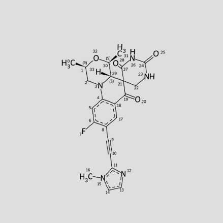 C[C@@H]1CN2c3cc(F)c(C#Cc4nccn4C)cc3C(=O)C3(CNC(=O)NC3=O)[C@H]2[C@H](C)O1